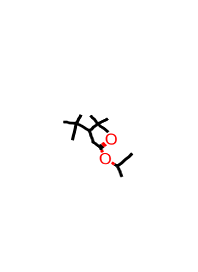 CC(C)OC(=O)CC(C(C)(C)C)C(C)(C)C